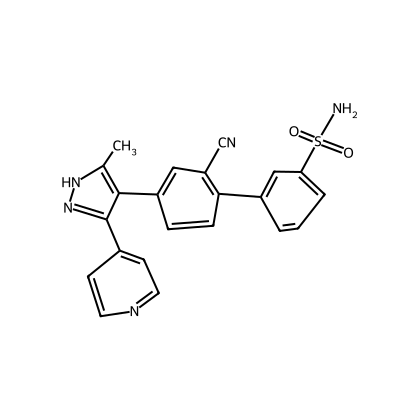 Cc1[nH]nc(-c2ccncc2)c1-c1ccc(-c2cccc(S(N)(=O)=O)c2)c(C#N)c1